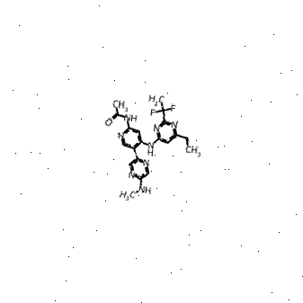 CCc1cc(Nc2cc(NC(C)=O)ncc2-c2cnc(NC)cn2)nc(C(C)(F)F)n1